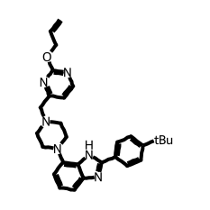 C=CCOc1nccc(CN2CCN(c3cccc4nc(-c5ccc(C(C)(C)C)cc5)[nH]c34)CC2)n1